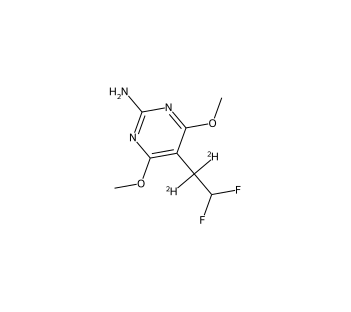 [2H]C([2H])(c1c(OC)nc(N)nc1OC)C(F)F